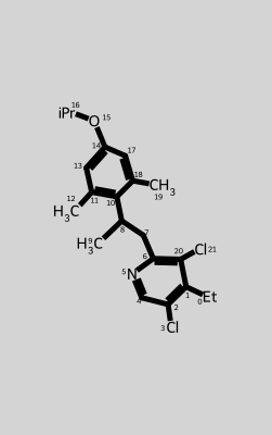 CCc1c(Cl)cnc(CC(C)c2c(C)cc(OC(C)C)cc2C)c1Cl